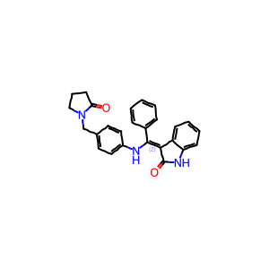 O=C1Nc2ccccc2/C1=C(/Nc1ccc(CN2CCCC2=O)cc1)c1ccccc1